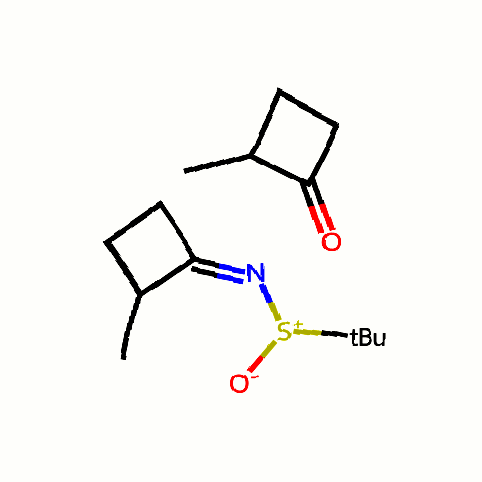 CC1CCC1=N[S+]([O-])C(C)(C)C.CC1CCC1=O